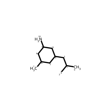 CC(I)CC1CC(C)CC(N)C1